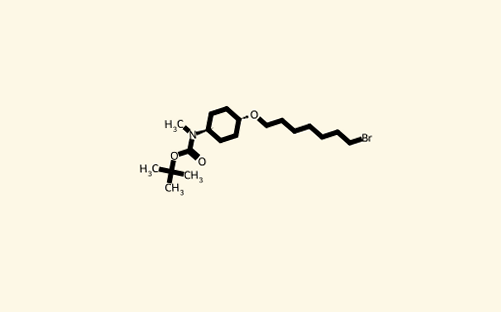 CN(C(=O)OC(C)(C)C)[C@H]1CC[C@H](OCCCCCCCBr)CC1